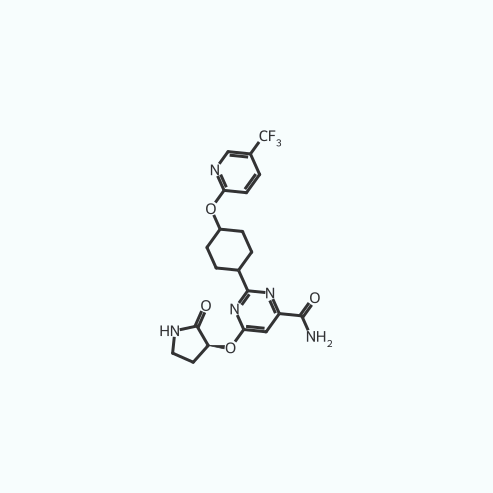 NC(=O)c1cc(O[C@H]2CCNC2=O)nc(C2CCC(Oc3ccc(C(F)(F)F)cn3)CC2)n1